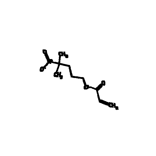 C=CC(=O)OCCCC(C)(C)[N+](=O)[O-]